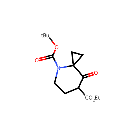 CCOC(=O)C1CCN(C(=O)OC(C)(C)C)C2(CC2)C1=O